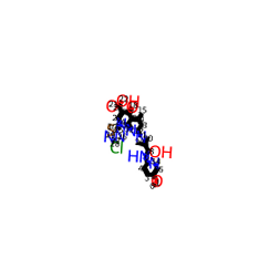 COc1ccc(NC(O)C2CN(C3CC(C)=c4c(=O)c(C(=O)O)cn(-c5nc(Cl)ns5)c4=N3)C2)nc1